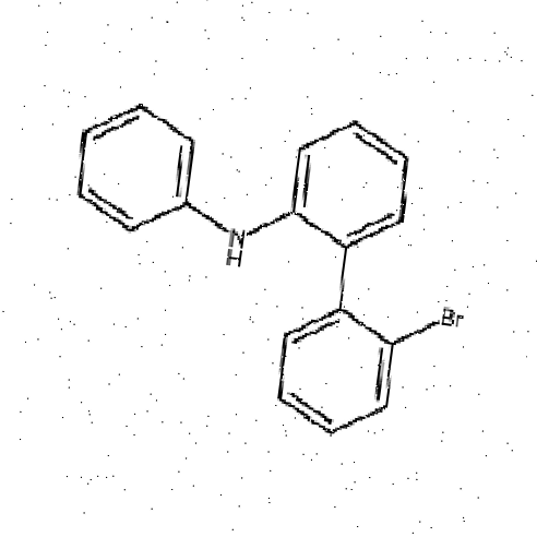 Brc1ccccc1-c1ccccc1Nc1ccccc1